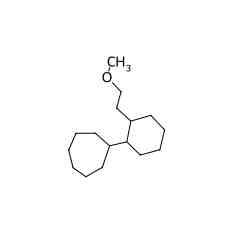 COCCC1CCCCC1C1CCCCCC1